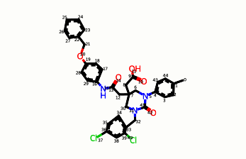 Cc1ccc(N2CC(CC(=O)O)(CC(=O)Nc3ccc(OCc4ccccc4)cc3)CN(Cc3ccc(Cl)cc3Cl)C2=O)cc1